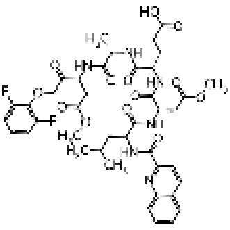 COC(=O)CC(NC(=O)[C@H](C)NC(=O)[C@H](CCC(=O)O)NC(=O)[C@H](CC(=O)OC)NC(=O)[C@H](CC(C)C)NC(=O)c1ccc2ccccc2n1)C(=O)COc1c(F)cccc1F